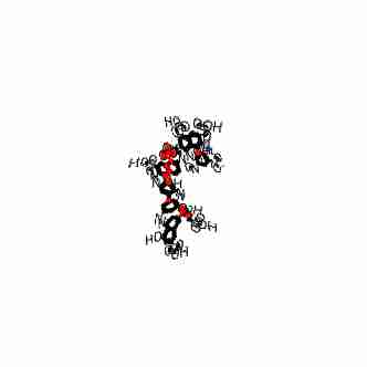 Cc1cc(/N=N\c2c(S(=O)(=O)O)cc3c(S(=O)(=O)O)c(N=Nc4cc(S(=O)(=O)O)c5cc(S(=O)(=O)O)c(/N=N\c6ccc(N=O)cc6[N+](=O)[O-])c(O)c5c4N)ccc3c2O)c(OCCCS(=O)(=O)O)cc1/N=N\c1ccc(/N=N\c2cc(S(=O)(=O)O)cc3cc(S(=O)(=O)O)cc(O)c23)cc1OCCCS(=O)(=O)O